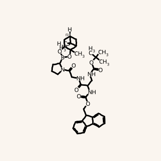 CC(C)(C)OC(=O)NCC(NC(=O)OCC1c2ccccc2-c2ccccc21)C(=O)NCC(=O)N1CCCC1B1OC2C[C@@H]3CC(C2(C)O1)C3(C)C